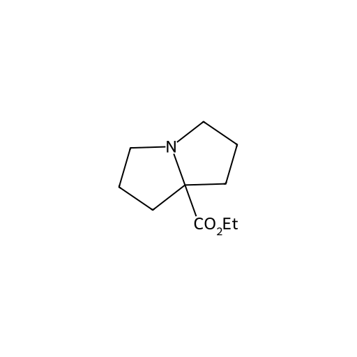 CCOC(=O)C12CCCN1CCC2